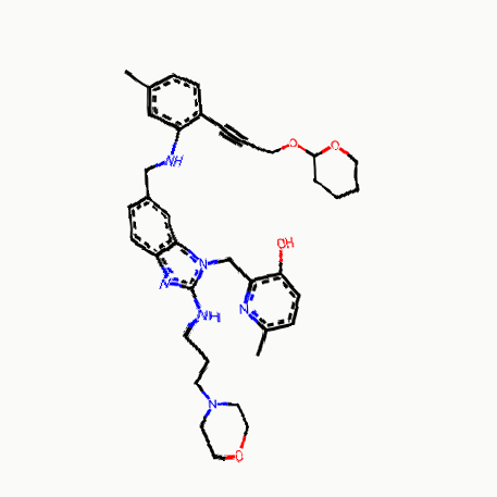 Cc1ccc(C#CCOC2CCCCO2)c(NCc2ccc3nc(NCCCN4CCOCC4)n(Cc4nc(C)ccc4O)c3c2)c1